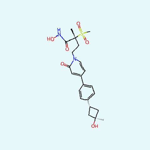 C[C@@](CCn1ccc(-c2ccc([C@H]3C[C@](C)(O)C3)cc2)cc1=O)(C(=O)NO)S(C)(=O)=O